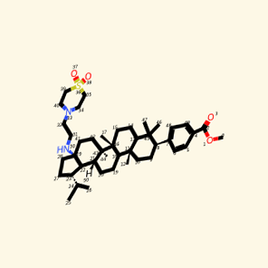 COC(=O)c1ccc([C@H]2CC[C@@]3(C)C(CC[C@]4(C)C3CC[C@@H]3C5[C@H](C(C)C)CC[C@]5(NCCN5CCS(=O)(=O)CC5)CC[C@]34C)C2(C)C)cc1